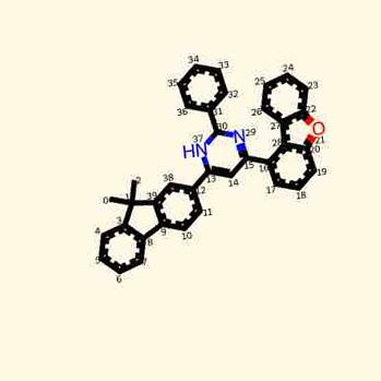 CC1(C)c2ccccc2-c2ccc(C3=CC(c4cccc5oc6ccccc6c45)=NC(c4ccccc4)N3)cc21